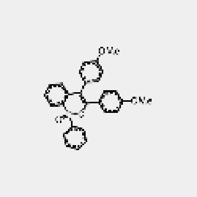 COc1ccc(C2=C(c3ccc(OC)cc3)c3ccccc3P(=O)(c3ccccc3)O2)cc1